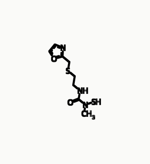 CN(S)C(=O)NCCSCc1ncco1